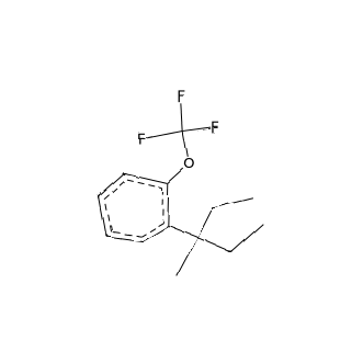 CCC(C)(CC)c1ccccc1OC(F)(F)F